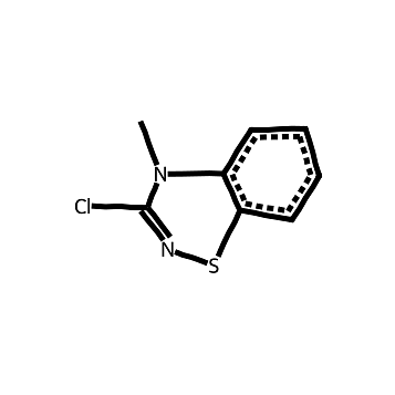 CN1C(Cl)=NSc2ccccc21